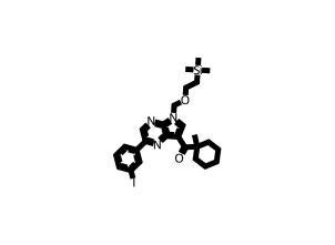 CC1(C(=O)c2cn(COCC[Si](C)(C)C)c3ncc(-c4cccc(I)c4)nc23)CCCCC1